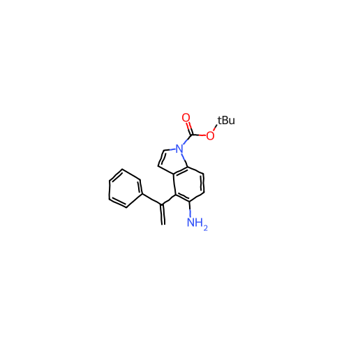 C=C(c1ccccc1)c1c(N)ccc2c1ccn2C(=O)OC(C)(C)C